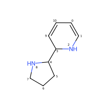 C1=CN[C](C2CCCN2)C=C1